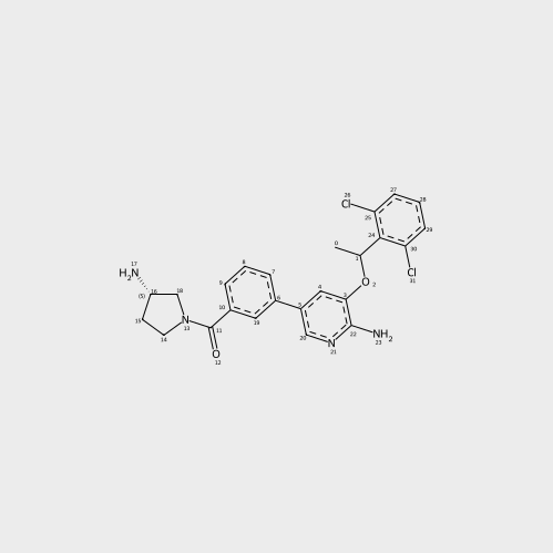 CC(Oc1cc(-c2cccc(C(=O)N3CC[C@H](N)C3)c2)cnc1N)c1c(Cl)cccc1Cl